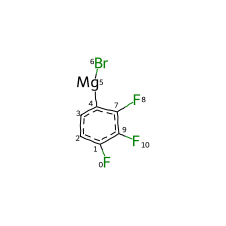 Fc1cc[c]([Mg][Br])c(F)c1F